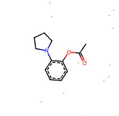 CC(=O)Oc1ccccc1N1CCCC1